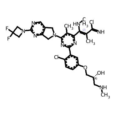 CNC[C@@H](O)COc1ccc(Cl)c(-c2nc(/C(NC)=C(\C)C(=N)Cl)c(C)c(N3Cc4cnc(N5CC(F)(F)C5)nc4C3)n2)c1